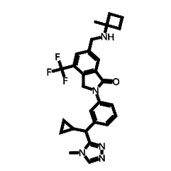 Cn1cnnc1C(c1cccc(N2Cc3c(cc(CNC4(C)CCC4)cc3C(F)(F)F)C2=O)c1)C1CC1